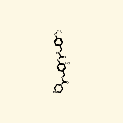 COc1ccc(CNC(=O)Oc2ccc(CSC(=O)N3CCNCC3)cc2)cc1.Cl